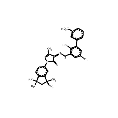 CC1=NN(c2ccc3c(c2)C(C)(C)CC3(C)C)C(=O)C1=NNc1cc(C)cc(-c2cccc(C(=O)O)c2)c1O